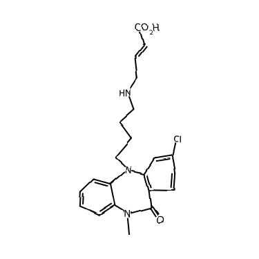 CN1C(=O)c2ccc(Cl)cc2N(CCCCNC/C=C/C(=O)O)c2ccccc21